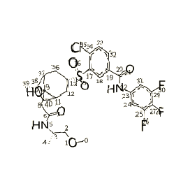 COC[C@H](C)NC(=O)C[C@@]1(O)C2C[C@@H](S(=O)(=O)c3cc(C(=O)Nc4cc(F)c(F)c(F)c4)ccc3Cl)CC1[C@@H](C)C2